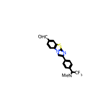 CNC(c1ccc(-c2cn3c(n2)sc2cc(C=O)ccc23)cc1)C(F)(F)F